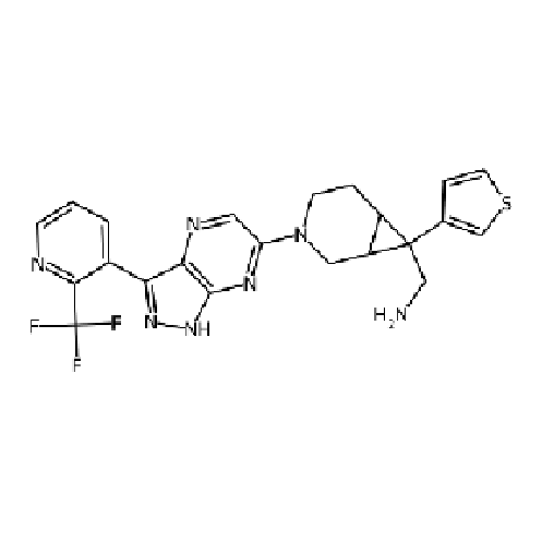 NCC1(c2ccsc2)C2CCN(c3cnc4c(-c5cccnc5C(F)(F)F)n[nH]c4n3)CC21